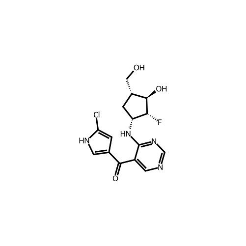 O=C(c1c[nH]c(Cl)c1)c1cncnc1N[C@@H]1C[C@H](CO)[C@@H](O)[C@@H]1F